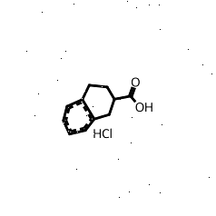 Cl.O=C(O)C1CCc2ccccc2C1